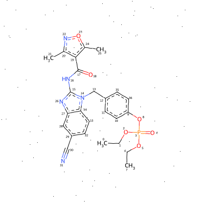 CCOP(=O)(OCC)Oc1ccc(Cn2c(NC(=O)c3c(C)noc3C)nc3cc(C#N)ccc32)cc1